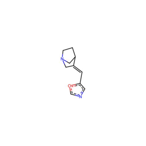 C(=C1/CN2CCC1C2)/c1cnco1